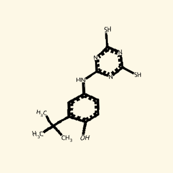 CC(C)(C)c1cc(Nc2nc(S)nc(S)n2)ccc1O